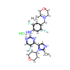 Cc1ncc(-c2nc(Nc3cc(F)c(CN4CCOC[C@@H]4C)cc3F)ncc2F)n1C1CCOCC1.Cl